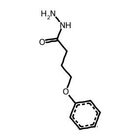 NNC(=O)CCCOc1cc[c]cc1